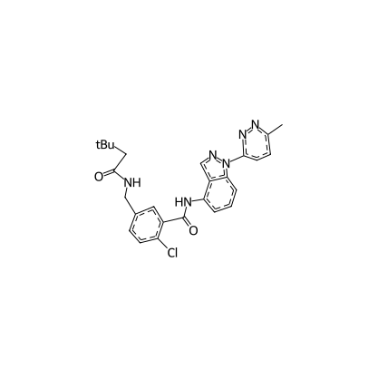 Cc1ccc(-n2ncc3c(NC(=O)c4cc(CNC(=O)CC(C)(C)C)ccc4Cl)cccc32)nn1